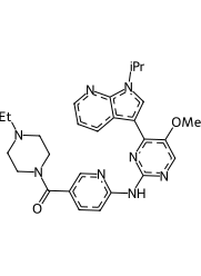 CCN1CCN(C(=O)c2ccc(Nc3ncc(OC)c(-c4cn(C(C)C)c5ncccc45)n3)nc2)CC1